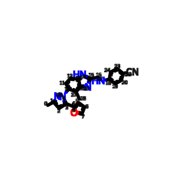 Cc1cc(-c2ccco2)n(-c2ccc3[nH]c(CNc4ccc(C#N)cc4)nc3c2C)n1